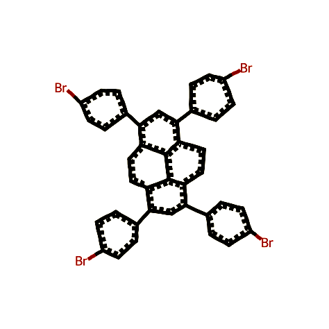 Brc1ccc(-c2cc(-c3ccc(Br)cc3)c3ccc4c(-c5ccc(Br)cc5)cc(-c5ccc(Br)cc5)c5ccc2c3c54)cc1